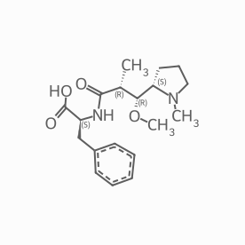 CO[C@H]([C@@H](C)C(=O)N[C@@H](Cc1ccccc1)C(=O)O)[C@@H]1CCCN1C